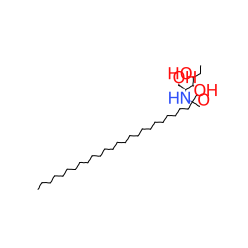 CCCCCCCCCCCCCCCCCCCCCCCCCC1(N[C@@H](CO)[C@H](O)[C@H](O)CC)COC1